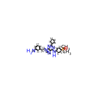 CP(C)(=O)c1ccc(Nc2nc(C3CCCC3)nc3c2ncn3CCc2cccc(N)c2)cc1